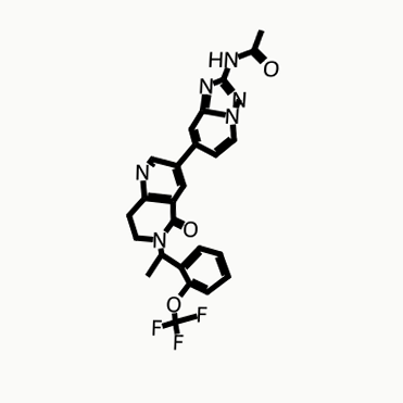 CC(=O)Nc1nc2cc(-c3cnc4c(c3)C(=O)N(C(C)c3ccccc3OC(F)(F)F)CC4)ccn2n1